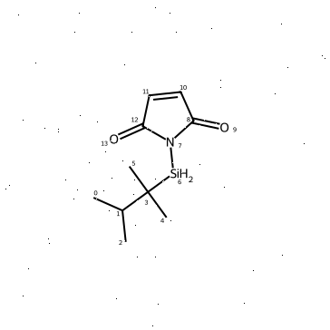 CC(C)C(C)(C)[SiH2]N1C(=O)C=CC1=O